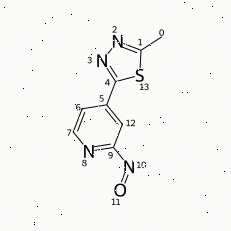 Cc1nnc(-c2ccnc(N=O)c2)s1